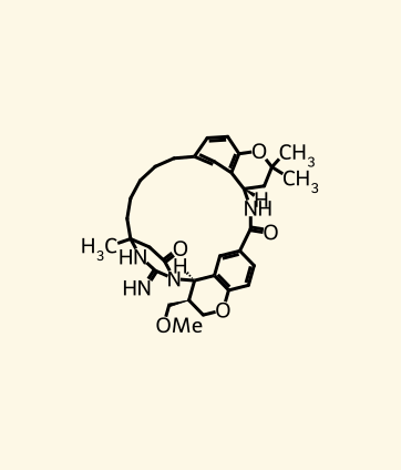 COC[C@@H]1COc2ccc3cc2[C@@H]1N1C(=N)NC(C)(CCCCCc2ccc4c(c2)[C@H](CC(C)(C)O4)NC3=O)CC1=O